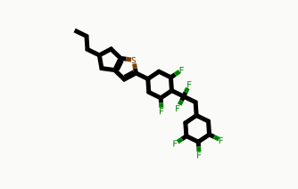 CCCC1Cc2cc(C3CC(F)C(C(F)(F)CC4CC(F)C(F)C(F)C4)C(F)C3)sc2C1